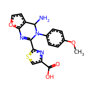 COc1ccc(N2C(c3nc(C(=O)O)cs3)=Nc3occc3C2N)cc1